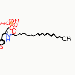 CCCCCCCCC=CCCCCCCCC(=O)N[C@H](COP(=O)(O)O)Cc1ccc(OCc2ccccc2)cc1